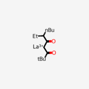 CCCCC(CC)C(=O)CC(=O)C(C)(C)C.[La+3]